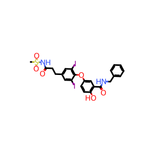 CS(=O)(=O)NC(=O)CCc1cc(I)c(Oc2ccc(O)c(C(=O)NCc3ccccc3)c2)c(I)c1